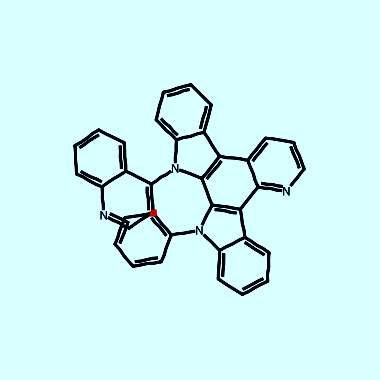 c1ccc(-n2c3ccccc3c3c4ncccc4c4c5ccccc5n(-c5ccnc6ccccc56)c4c32)cc1